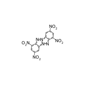 O=[N+]([O-])c1cc([N+](=O)[O-])c2[n-][n+]3c4cc([N+](=O)[O-])cc([N+](=O)[O-])c4nn3c2c1